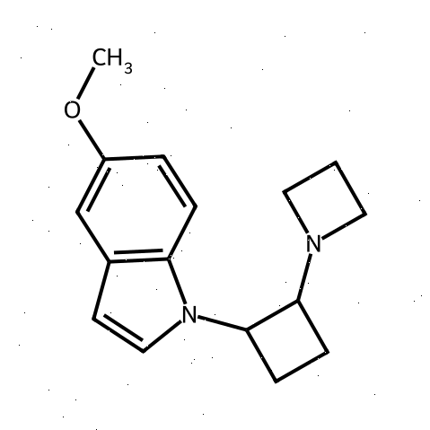 COc1ccc2c(ccn2C2CCC2N2CCC2)c1